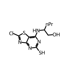 CCCC(CO)Nc1nc(S)nc2nc(Cl)sc12